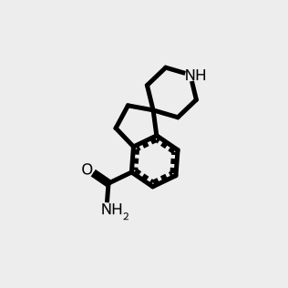 NC(=O)c1cccc2c1CCC21CCNCC1